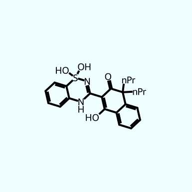 CCCC1(CCC)C(=O)C(C2=NS(O)(O)c3ccccc3N2)=C(O)c2ccccc21